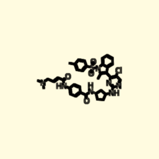 Cc1ccc(S(=O)(=O)n2c(C)c(-c3nc(NC4CC[C@@H](NC(=O)c5ccc(NC(=O)/C=C/CN(C)C)cc5)C4)ncc3Cl)c3ccccc32)cc1